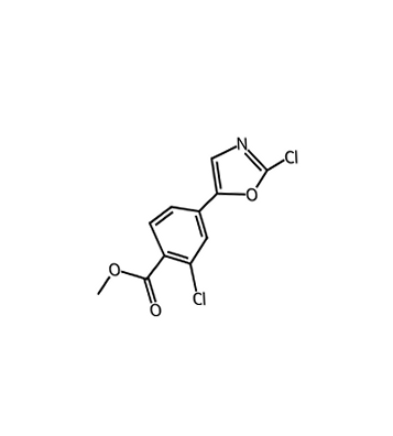 COC(=O)c1ccc(-c2cnc(Cl)o2)cc1Cl